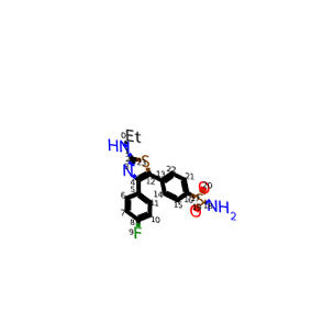 CCNc1nc(-c2ccc(F)cc2)c(-c2ccc(S(N)(=O)=O)cc2)s1